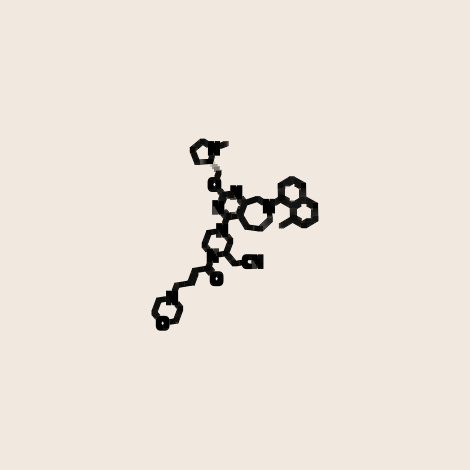 Cc1cccc2cccc(N3CCCc4c(nc(OC[C@@H]5CCCN5C)nc4N4CCN(C(=O)/C=C/CN5CCOCC5)C(CC#N)C4)C3)c12